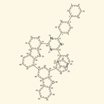 c1ccc(-c2ccc(-c3nc(-c4ccccc4)nc(-c4cccc5c4sc4c(-c6cc(-c7ccccc7)c7oc8ccccc8c7c6)cccc45)n3)cc2)cc1